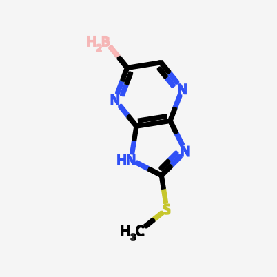 Bc1cnc2nc(SC)[nH]c2n1